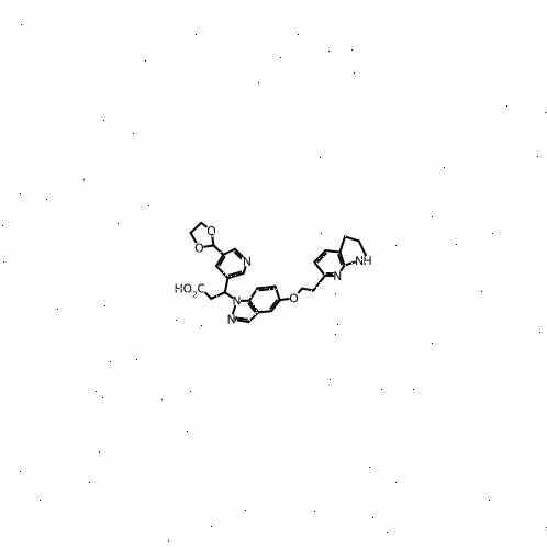 O=C(O)CC(c1cncc(C2OCCO2)c1)n1ncc2cc(OCCc3ccc4c(n3)NCCC4)ccc21